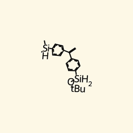 C=C(c1ccc([SiH2]OC(C)(C)C)cc1)c1ccc([SiH](C)C)cc1